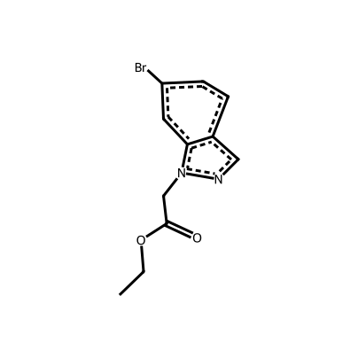 CCOC(=O)Cn1ncc2ccc(Br)cc21